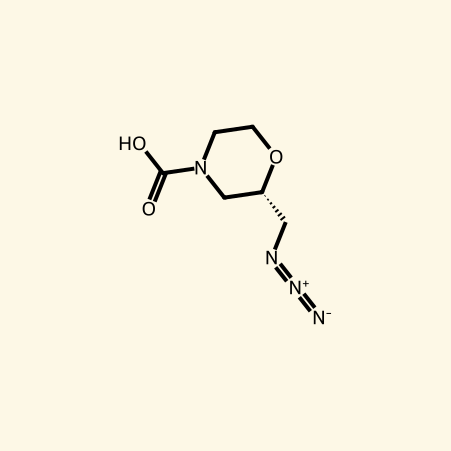 [N-]=[N+]=NC[C@@H]1CN(C(=O)O)CCO1